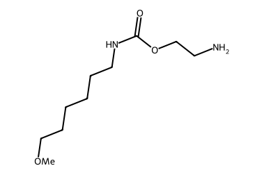 COCCCCCCNC(=O)OCCN